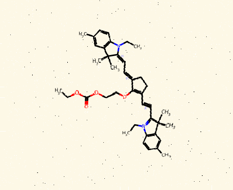 CCOC(=O)OCCOC1=C(/C=C/C2=[N+](CC)c3ccc(C)cc3C2(C)C)CC/C1=C\C=C1\N(CC)c2ccc(C)cc2C1(C)C